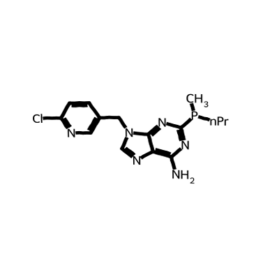 CCCP(C)c1nc(N)c2ncn(Cc3ccc(Cl)nc3)c2n1